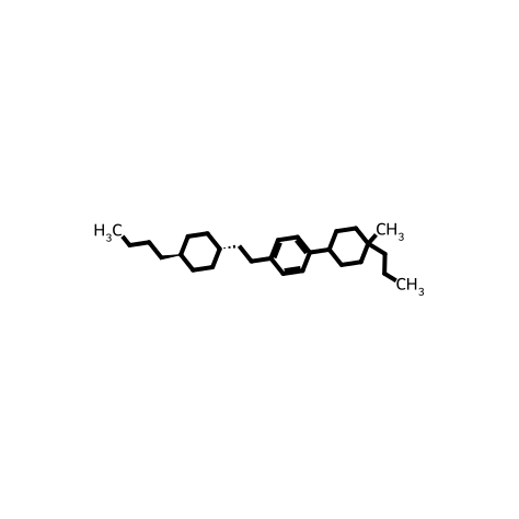 CCCC[C@H]1CC[C@H](CCc2ccc(C3CCC(C)(CCC)CC3)cc2)CC1